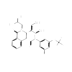 CC(C)CN1C(=O)c2ccccc2[C@@H](C(=O)Nc2cc(F)cc(OC(F)(F)F)c2)[C@@H]1/C(C=N)=C/N